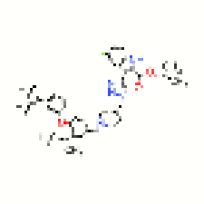 CC(C)COC(=O)c1[nH]c2ccc(F)cc2c1-c1cn(CC2CCN(Cc3ccc(Oc4cccc(C(C)C)c4)c(C(C)C)c3)CC2)nn1